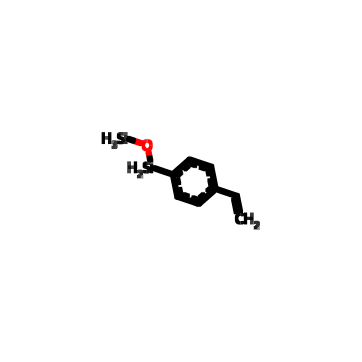 C=Cc1ccc([SiH2]O[SiH3])cc1